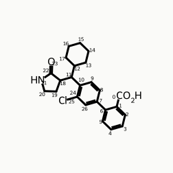 O=C(O)c1ccccc1-c1ccc(C(C2CCCCC2)C2CCNC2=O)c(Cl)c1